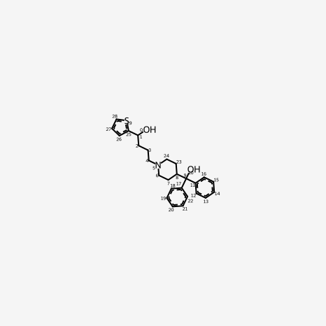 OC(CCCN1CCC(C(O)(c2ccccc2)c2ccccc2)CC1)c1cccs1